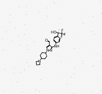 C[C@@](O)(c1ccc(Nc2nn(C3CCC(N4CCC4)CC3)cc2C=O)cc1)C(F)(F)F